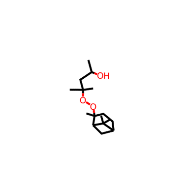 CC(O)CC(C)(C)OOC1(C)CCC2CC1C2(C)C